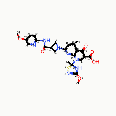 COC1=NSC(C)(n2cc(C(=O)O)c(=O)c3c(C)cc(N4CC(C(=O)Nc5ccc(OC)cn5)C4)nc32)N1